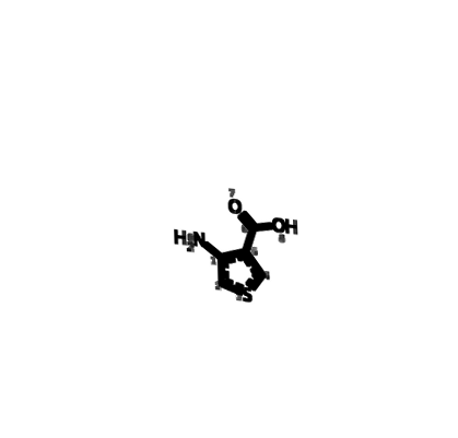 Nc1cscc1C(=O)O